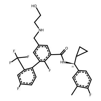 Cc1cc([C@@H](NC(=O)c2cc(CNCCO)cc(-c3ccc(F)cc3C(F)(F)F)c2F)C2CC2)ccc1F